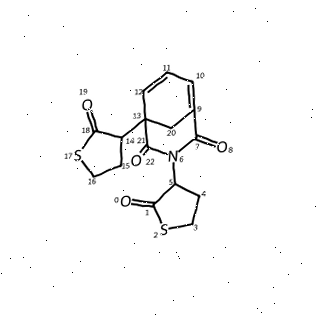 O=C1SCCC1N1C(=O)C2=CC=CC(C3CCSC3=O)(C2)C1=O